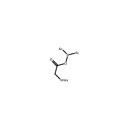 CCCCCCCC(=O)ON(C(C)=O)C(C)=O